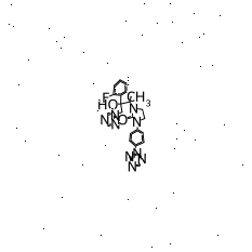 C[C@@H](N1CCN(c2ccc(-n3ncnn3)cc2)C1=O)[C@](O)(Cn1cncn1)c1ccccc1F